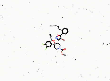 C#CCO[C@]1(c2ccc(F)c(F)c2)CCN(C(=O)OC(C)(C)C)C[C@@H]1c1noc(-c2ccccc2CCNC(C)=O)c1Br